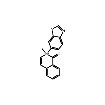 C[N+]1(c2ccc3ncsc3c2)C=Cc2ccccc2C1=O